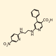 O=C(O)c1cnc(NCCNc2ccc([N+](=O)[O-])cn2)cc1-c1ccccc1